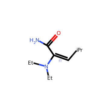 CCN(CC)/C(=C/C(C)C)C(N)=O